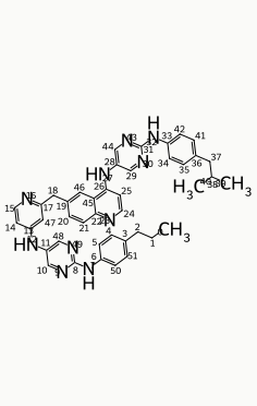 CCCc1ccc(Nc2ncc(Nc3ccnc(Cc4ccc5nccc(Nc6cnc(Nc7ccc(CC(C)C)cc7)nc6)c5c4)c3)cn2)cc1